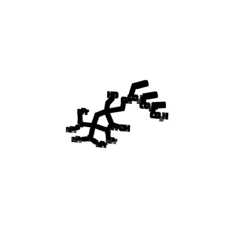 C=CC(=O)O.C=CC(=O)O.C=CC(=O)O.CCCN(CCC)C(CC(CO)(CO)CO)(N(CCC)CCC)N(CCC)CCC